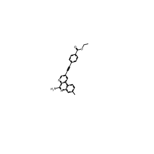 CCOC(=O)c1ccc(C#Cc2cnc3c(N)nc4cc(C)ccc4c3c2)cc1